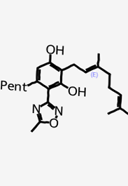 CCCCCc1cc(O)c(C/C=C(\C)CCC=C(C)C)c(O)c1-c1noc(C)n1